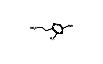 CCOC(=O)CCc1ccc(SC)cc1C